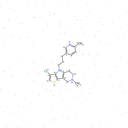 Cc1ccc(CCCn2c3c(c4scc(Cl)c42)CN(C)CC3)cn1